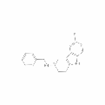 Fc1ccc2[nH]c3c(c2c1)C[C@@H](NCc1ccccc1)CC3